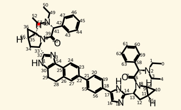 CCN(CC)[C@@H](C(=O)N1[C@@H]2C[C@@H]2C[C@H]1c1ncc(-c2ccc(-c3ccc4c(c3)CCc3[nH]c([C@@H]5C[C@H]6C[C@H]6N5C(=O)[C@@H](c5ccccc5)N(CC)CC)nc3-4)cc2)[nH]1)c1ccccc1